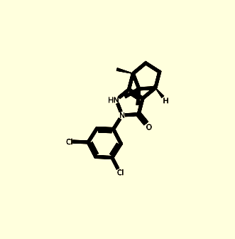 CC1(C)[C@@H]2CC[C@@]1(C)c1[nH]n(-c3cc(Cl)cc(Cl)c3)c(=O)c12